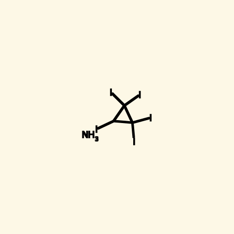 IC1C(I)(I)C1(I)I.N